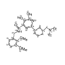 CCN(CC)Cc1cccc(-c2nc(O)c(O)c(C(=O)NCc3cccc(OC)c3OC)n2)c1